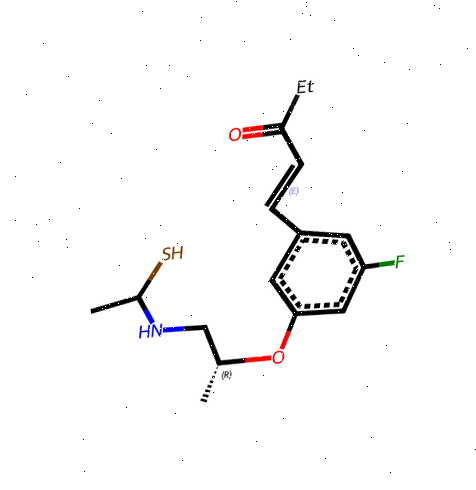 CCC(=O)/C=C/c1cc(F)cc(O[C@H](C)CNC(C)S)c1